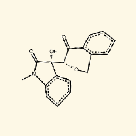 CN1C(=O)[C@@](O)([C@H]2CCc3ccccc3C2=O)c2ccccc21